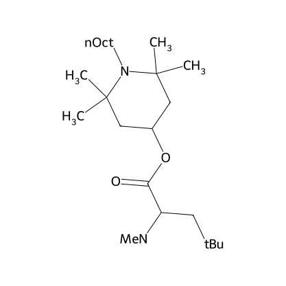 CCCCCCCCN1C(C)(C)CC(OC(=O)C(CC(C)(C)C)NC)CC1(C)C